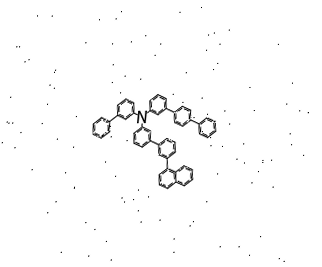 c1ccc(-c2ccc(-c3cccc(N(c4cccc(-c5ccccc5)c4)c4cccc(-c5cccc(-c6cccc7ccccc67)c5)c4)c3)cc2)cc1